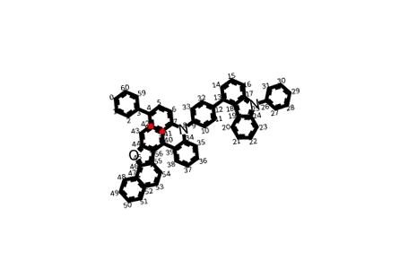 c1ccc(-c2ccc(N(c3ccc(-c4cccc5c4c4ccccc4n5-c4ccccc4)cc3)c3ccccc3-c3cccc4oc5c6ccccc6ccc5c34)cc2)cc1